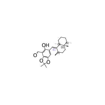 C[C@@H]1CC[C@@]2(C)[C@@H](C)CCC[C@]2(C)/C1=C/c1cc2c(c(C=O)c1O)OC(C)(C)O2